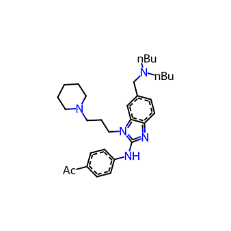 CCCCN(CCCC)Cc1ccc2nc(Nc3ccc(C(C)=O)cc3)n(CCCN3CCCCC3)c2c1